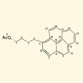 CC(=O)OCCCCc1ccc2ccc3cccc4ccc1c2c34